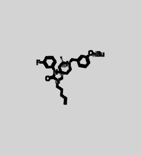 C=CCCCN1C[C@]2(CCN(Cc3cccc(O[C@H](C)CC)c3)[C@@H](C)C2)N(c2cccc(F)c2)C1=O